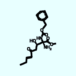 CCC=CC(=O)C[C@@H](O)[C@](N)(NC(=O)OCc1ccccc1)C(=O)OC